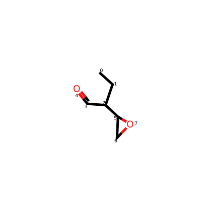 CCC(C=O)C1CO1